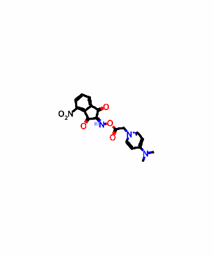 CN(C)c1cc[n+](CC(=O)O/N=c2\c(=O)c3cccc([N+](=O)[O-])c3c2=O)cc1